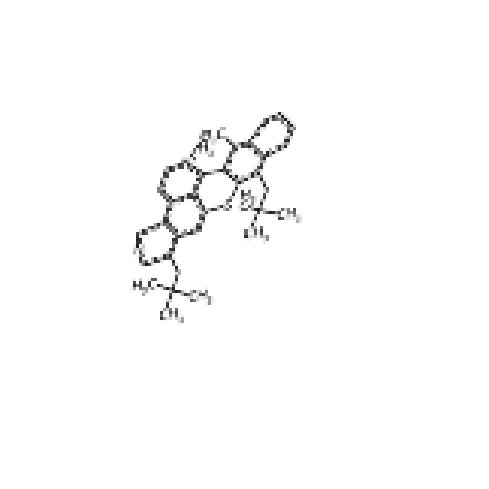 Cc1c2c(c(CC(C)(C)C)c3ccccc13)Sc1cc3c(CC(C)(C)C)cncc3c3cc[n+](C)c-2c13